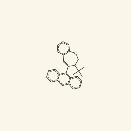 CC(C)(C)C1COc2ccccc2C=C1c1c2ccccc2cc2ccccc12